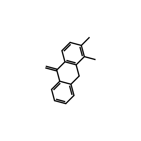 C=C1c2ccccc2Cc2c1ccc(C)c2C